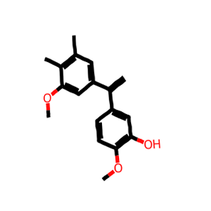 C=C(c1ccc(OC)c(O)c1)c1cc(C)c(C)c(OC)c1